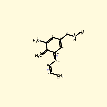 C=C1C(C)=CC(CNCC)=C/C1=N/C=C\C